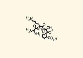 C[C@H](N)C(=O)N[C@@H](CCCCN)C(=O)N[C@@H](C)C(=O)N1CCC[C@H]1C(=O)O